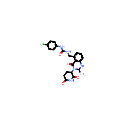 CC1Nc2cccc(CNC(=O)Nc3ccc(Cl)cc3)c2C(=O)N1C1CCC(=O)NC1=O